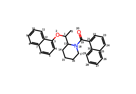 CC(Oc1cccc2ccccc12)C1CCCCN1C(=O)c1cccc2ccccc12